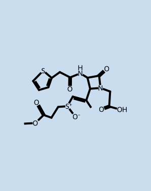 COC(=O)CC[S+]([O-])C=C(C)C1C(NC(=O)Cc2cccs2)C(=O)N1CC(=O)O